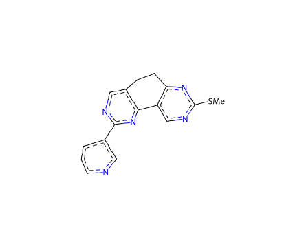 CSc1ncc2c(n1)CCc1cnc(-c3cccnc3)nc1-2